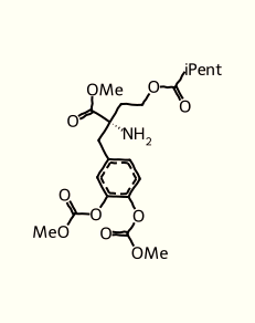 CCCC(C)C(=O)OCC[C@@](N)(Cc1ccc(OC(=O)OC)c(OC(=O)OC)c1)C(=O)OC